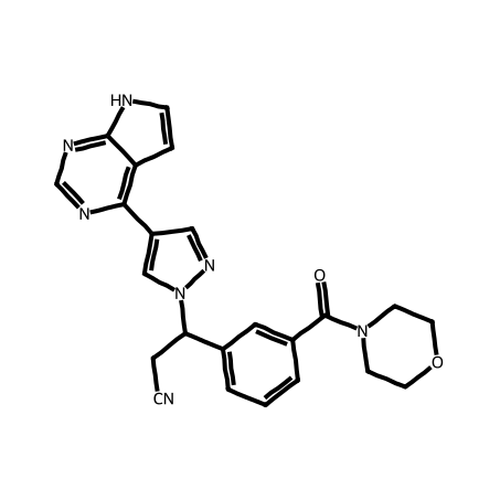 N#CCC(c1cccc(C(=O)N2CCOCC2)c1)n1cc(-c2ncnc3[nH]ccc23)cn1